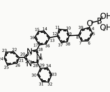 OB(O)Oc1cccc(-c2ccc(-c3cccc(-c4nc(-c5ccccc5)nc(-c5ccccc5)n4)c3)cc2)c1